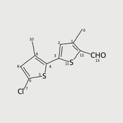 Cc1cc(-c2sc(Cl)cc2C)sc1C=O